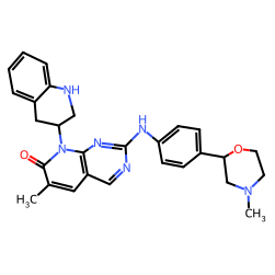 Cc1cc2cnc(Nc3ccc(C4CN(C)CCO4)cc3)nc2n(C2CNc3ccccc3C2)c1=O